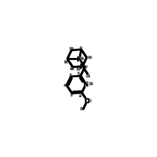 COc1cccc(CN2C3CC2CN(C)C3)n1